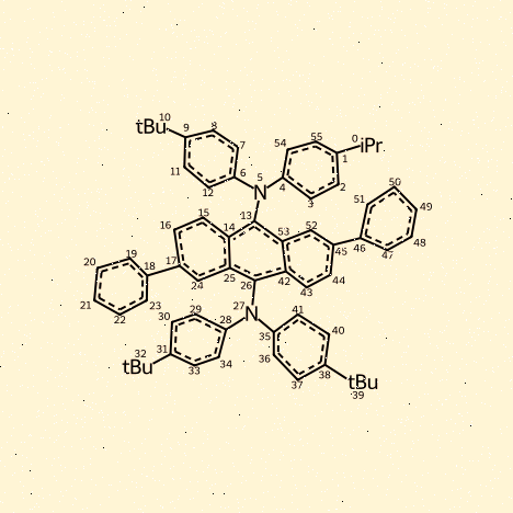 CC(C)c1ccc(N(c2ccc(C(C)(C)C)cc2)c2c3ccc(-c4ccccc4)cc3c(N(c3ccc(C(C)(C)C)cc3)c3ccc(C(C)(C)C)cc3)c3ccc(-c4ccccc4)cc23)cc1